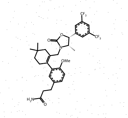 COc1ccc(CCC(N)=O)cc1C1=C(CN2C(=O)O[C@H](c3cc(C(F)(F)F)cc(C(F)(F)F)c3)[C@@H]2C)CC(C)(C)CC1